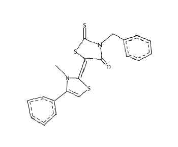 CN1C(c2ccccc2)=CSC1=C1SC(=S)N(Cc2ccccc2)C1=O